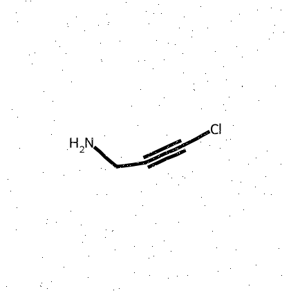 NCC#CCl